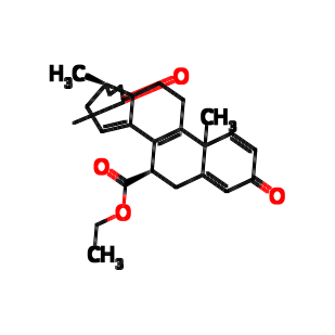 CCOC(=O)[C@@H]1CC2=CC(=O)C=CC2(C)C2=C1C1=CC[C@@]3(C)CCC(=O)C13CC2